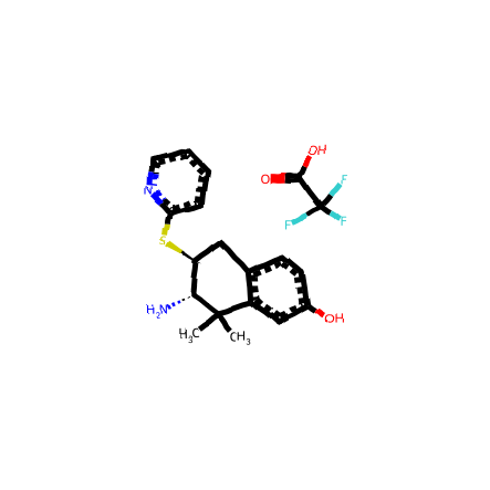 CC1(C)c2cc(O)ccc2C[C@H](Sc2ccccn2)[C@H]1N.O=C(O)C(F)(F)F